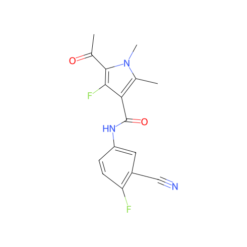 CC(=O)c1c(F)c(C(=O)Nc2ccc(F)c(C#N)c2)c(C)n1C